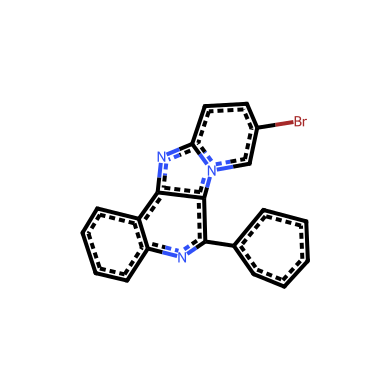 Brc1ccc2nc3c4ccccc4nc(-c4ccccc4)c3n2c1